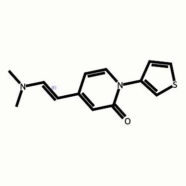 CN(C)/C=C/c1ccn(-c2ccsc2)c(=O)c1